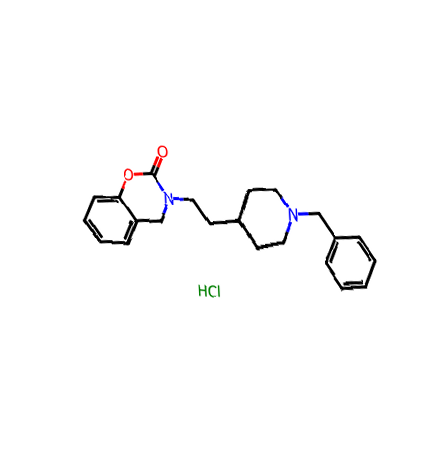 Cl.O=C1Oc2ccccc2CN1CCC1CCN(Cc2ccccc2)CC1